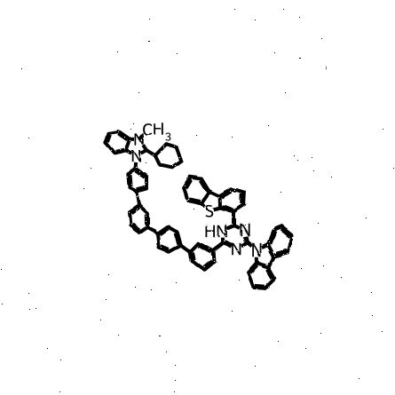 CN1c2ccccc2N(c2ccc(-c3cccc(-c4ccc(-c5cccc(C6=NC(n7c8ccccc8c8ccccc87)=NC(c7cccc8c7sc7ccccc78)N6)c5)cc4)c3)cc2)C1C1CCCCC1